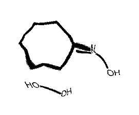 ON=C1CCCCC1.OO